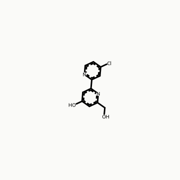 OCc1cc(O)cc(-c2cc(Cl)ccn2)n1